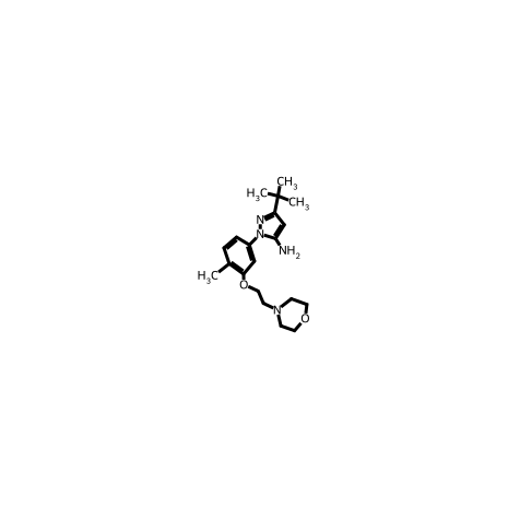 Cc1ccc(-n2nc(C(C)(C)C)cc2N)cc1OCCN1CCOCC1